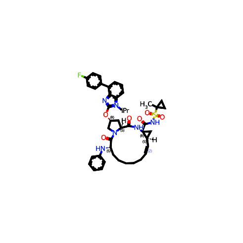 CC(C)n1c(O[C@@H]2C[C@H]3C(=O)N[C@]4(C(=O)NS(=O)(=O)C5(C)CC5)C[C@H]4/C=C\CCCCC[C@H](Nc4ccccc4)C(=O)N3C2)nc2c(-c3ccc(F)cc3)cccc21